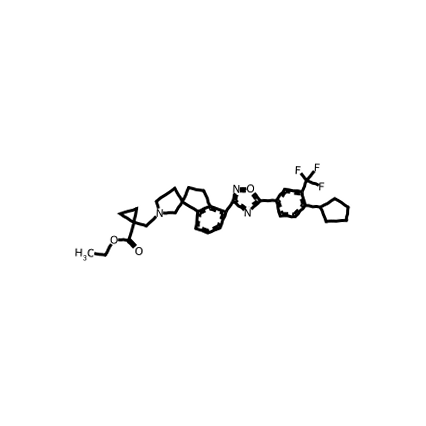 CCOC(=O)C1(CN2CCC3(CCc4c(-c5noc(-c6ccc(C7CCCC7)c(C(F)(F)F)c6)n5)cccc43)C2)CC1